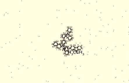 CC1(C)c2ccccc2-c2ccc(-c3nc(-n4c5ccc(-c6cccc7c6c6ccccc6n7-c6ccccc6)cc5c5c6ccccc6ccc54)nc4ccccc34)cc21